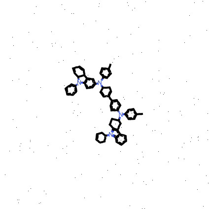 Cc1ccc(N(c2ccc3c(c2)C2C=CC=CC2N3c2ccccc2)C2C=CC(c3ccc(N(c4ccc(C)cc4)C4CCc5c(c6ccccc6n5C5CC=CCC5)C4)cc3)=CC2)cc1